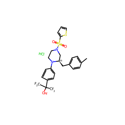 Cc1ccc(C[C@@H]2CN(S(=O)(=O)c3cccs3)CCN2c2ccc(C(O)(C(F)(F)F)C(F)(F)F)cc2)cc1.Cl